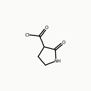 O=C(Cl)C1CCNC1=O